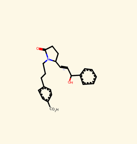 O=C(O)c1ccc(CCCN2C(=O)CCC2/C=C/C(O)c2ccccc2)cc1